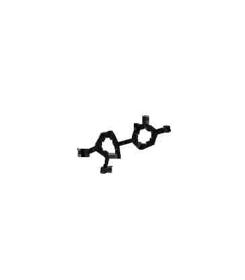 O=c1ccc(-c2ccc(O)c(O)c2)n[nH]1